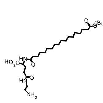 CC(C)(C)OC(=O)CCCCCCCCCCCCCCCCC(=O)NC(CCC(=O)NCCN)C(=O)O